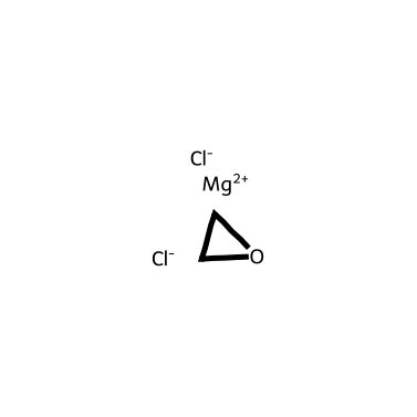 C1CO1.[Cl-].[Cl-].[Mg+2]